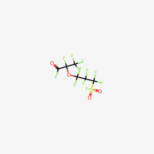 O=C(F)C(F)(OC(F)(F)C(F)(F)C(F)(F)S(=O)(=O)F)C(F)(F)F